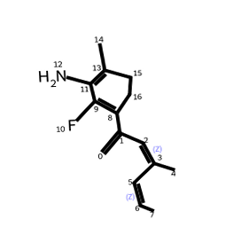 C=C(/C=C(C)\C=C/C)C1=C(F)C(N)=C(C)CC1